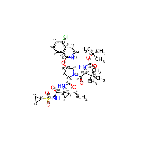 C=C[C@@H]1C[C@]1(NC(=O)[C@@H]1C[C@@H](Oc2nccc3c(Cl)cccc23)CN1C(=O)[C@@H](NC(=O)OC(C)(C)C)C(C)(C)C)C(=O)NS(=O)(=O)C1CC1